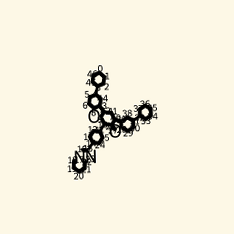 c1ccc(-c2ccc3oc4c(-c5ccc(-c6cn7ccccc7n6)cc5)c5oc6ccc(-c7ccccc7)cc6c5cc4c3c2)cc1